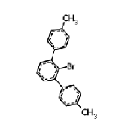 Cc1ccc(-c2cccc(-c3ccc(C)cc3)c2Br)cc1